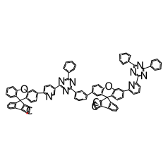 c1ccc(-c2nc(-c3ccc(-c4ccc5c(c4)Oc4ccccc4C54c5ccccc5-c5ccccc54)nc3)nc(-c3cccc(-c4ccc5c(c4)C4(c6ccc(-c7cccc(-c8nc(-c9ccccc9)nc(-c9ccccc9)n8)n7)cc6O5)c5ccccc5-c5ccccc54)c3)n2)cc1